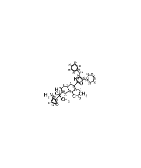 CCN(CC)C(CC1CCC(C(C)(C)c2sccc2N)CC1)c1nc(Cc2ccccc2)c(N2CCSCC2)o1